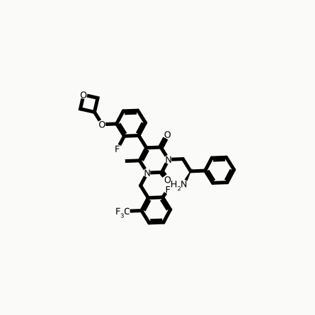 Cc1c(-c2cccc(OC3COC3)c2F)c(=O)n(C[C@H](N)c2ccccc2)c(=O)n1Cc1c(F)cccc1C(F)(F)F